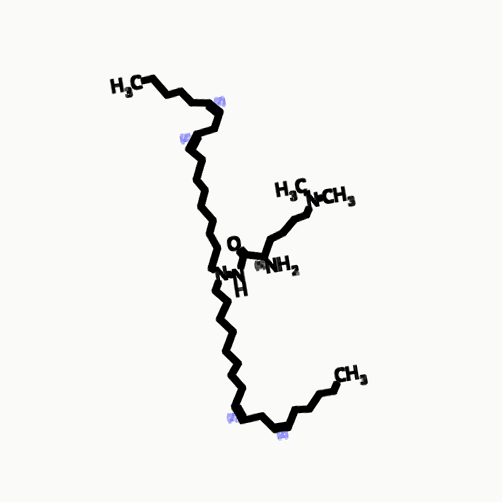 CCCCC/C=C\C/C=C\CCCCCCCCN(CCCCCCCC/C=C\C/C=C\CCCCC)NC(=O)[C@@H](N)CCCCN(C)C